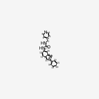 O=C(NCc1ccncc1)Nc1ccc2cn(-c3ccccc3)nc2c1